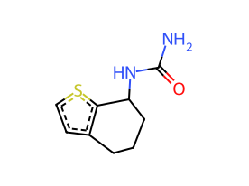 NC(=O)NC1CCCc2ccsc21